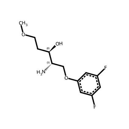 COCC[C@@H](O)[C@@H](N)COc1cc(F)cc(F)c1